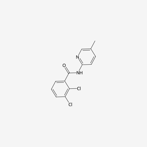 Cc1ccc(NC(=O)c2cccc(Cl)c2Cl)nc1